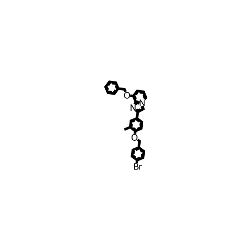 Cc1cc(-c2cn3cccc(OCc4ccccc4)c3n2)ccc1OCc1ccc(Br)cc1